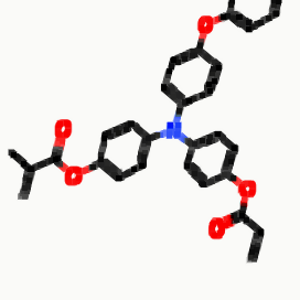 C=CC(=O)Oc1ccc(N(c2ccc(OC(=O)C(=C)C)cc2)c2ccc(Oc3ccccc3)cc2)cc1